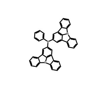 c1ccc(B(c2cc3c4ccccc4n4c5ccccc5c(c2)c34)c2cc3c4ccccc4n4c5ccccc5c(c2)c34)cc1